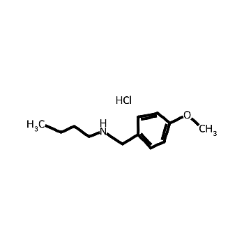 CCCCNCc1ccc(OC)cc1.Cl